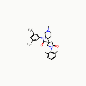 Cc1cccc(C)c1N1CC(C(=O)Nc2cc(C(F)(F)F)cc(C(F)(F)F)c2)(C2CCN(C)CC2)CC1=O